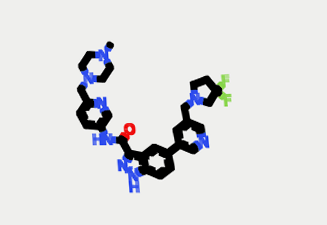 CN1CCN(Cc2ccc(NC(=O)c3n[nH]c4ccc(-c5cncc(CN6CCC(F)(F)C6)c5)cc34)cn2)CC1